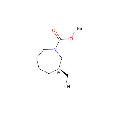 CC(C)(C)OC(=O)N1CCCC[C@H](CC#N)C1